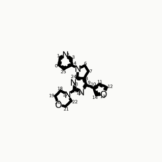 c1cncc(N2CCc3c(-c4ccoc4)nc(N4CCOCC4)nc32)c1